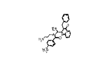 Bc1ccc(C(=O)N(CCCN)C(CC)c2nc3ccccn3c(=O)c2Cc2ccccc2)cc1